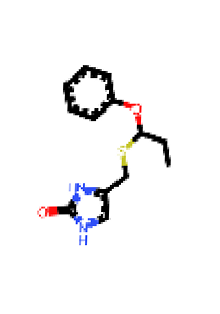 CCC(Oc1ccccc1)SCc1c[nH]c(=O)[nH]1